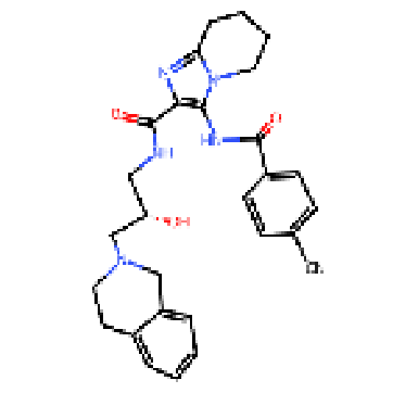 N#Cc1ccc(C(=O)Nc2c(C(=O)NC[C@H](O)CN3CCc4ccccc4C3)nc3n2CCCC3)cc1